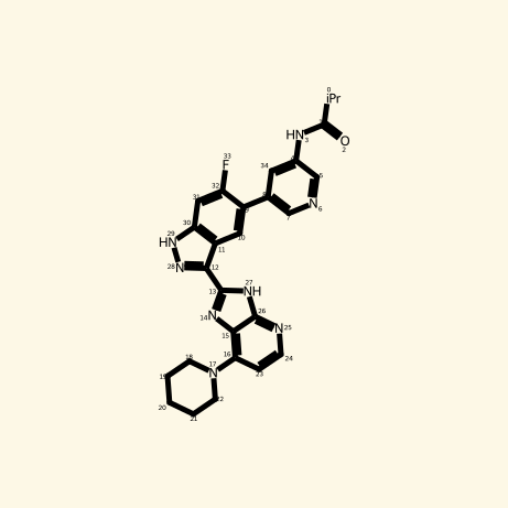 CC(C)C(=O)Nc1cncc(-c2cc3c(-c4nc5c(N6CCCCC6)ccnc5[nH]4)n[nH]c3cc2F)c1